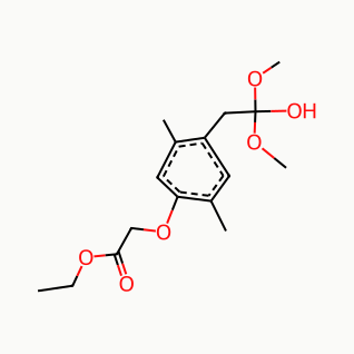 CCOC(=O)COc1cc(C)c(CC(O)(OC)OC)cc1C